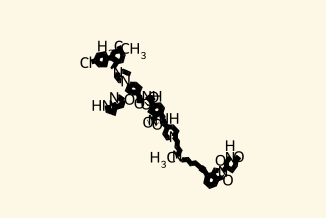 CN(CCCCC#Cc1cccc2c1CN(C1CCC(=O)NC1=O)C2=O)CCCN1CCC(CNc2ccc(S(=O)(=O)NC(=O)c3ccc(N4CCN(CC5=C(c6ccc(Cl)cc6)CC(C)(C)CC5)CC4)cc3Oc3cnc4[nH]ccc4c3)cc2[N+](=O)[O-])CC1